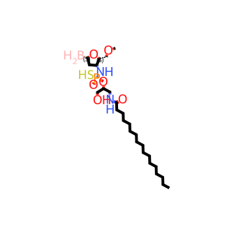 B[C@H]1CC(NP(=O)(S)OC(CO)CNC(=O)CCCCCCCCCCCCCCCC)[C@@H](COC)O1